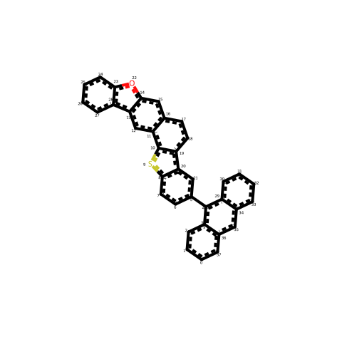 c1ccc2c(-c3ccc4sc5c6cc7c(cc6ccc5c4c3)oc3ccccc37)c3ccccc3cc2c1